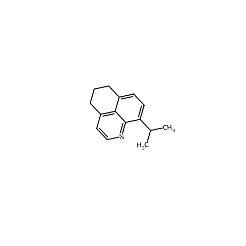 CC(C)c1ccc2c3c(ccnc13)CCC2